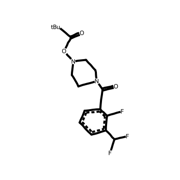 CC(C)(C)C(=O)ON1CCN(C(=O)c2cccc(C(F)F)c2F)CC1